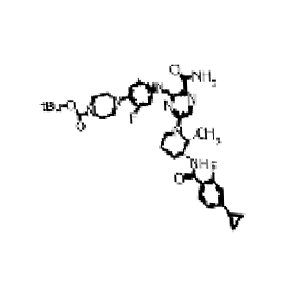 C[C@@H]1[C@H](NC(=O)c2ccc(C3CC3)cc2F)CCCN1c1cnc(C(N)=O)c(Nc2ccc(N3CCN(C(=O)OC(C)(C)C)CC3)c(F)c2)n1